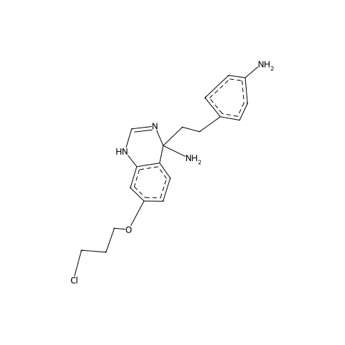 Nc1ccc(CCC2(N)N=CNc3cc(OCCCCl)ccc32)cc1